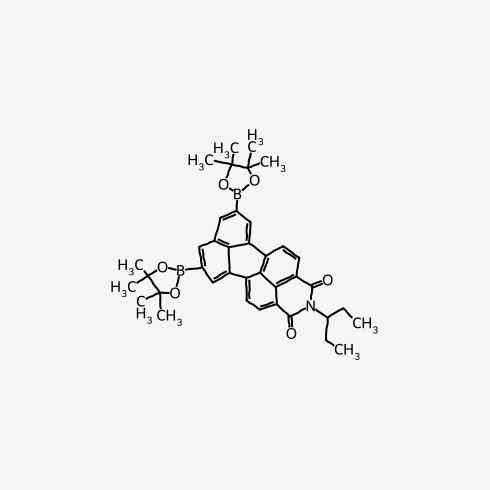 CCC(CC)N1C(=O)c2ccc3c4cc(B5OC(C)(C)C(C)(C)O5)cc5cc(B6OC(C)(C)C(C)(C)O6)cc(c6ccc(c2c36)C1=O)c54